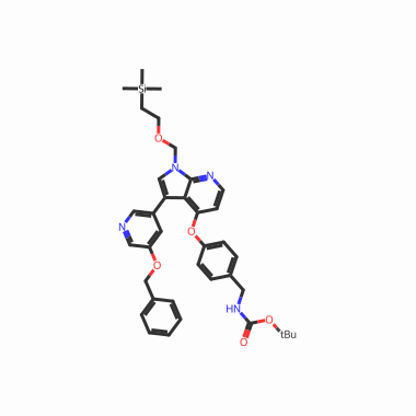 CC(C)(C)OC(=O)NCc1ccc(Oc2ccnc3c2c(-c2cncc(OCc4ccccc4)c2)cn3COCC[Si](C)(C)C)cc1